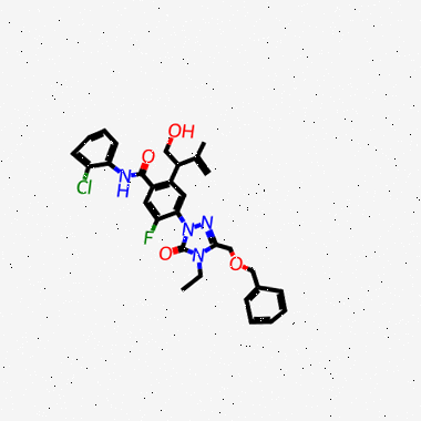 C=C(C)C(CO)c1cc(-n2nc(COCc3ccccc3)n(CC)c2=O)c(F)cc1C(=O)Nc1ccccc1Cl